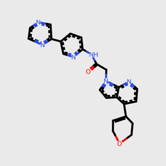 O=C(Cn1ccc2c(C3=CCOCC3)ccnc21)Nc1ccc(-c2cnccn2)cn1